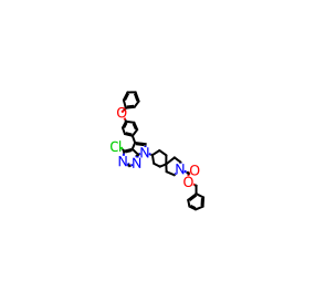 O=C(OCc1ccccc1)N1CCC2(CCC(n3cc(-c4ccc(Oc5ccccc5)cc4)c4c(Cl)ncnc43)CC2)CC1